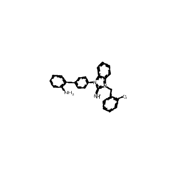 N=c1n(Cc2ccccc2Cl)c2ccccc2n1-c1ccc(-c2ccccc2N)cc1